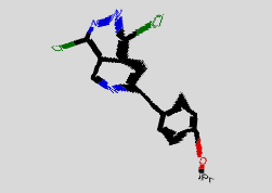 CC(C)Oc1ccc(-c2cc3c(Cl)nnc(Cl)c3cn2)cc1